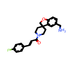 NCc1ccc2c(c1)C1(CCN(C(=O)C=Cc3ccc(F)cc3)CC1)CO2